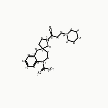 CC(C)C(=O)N1CCC2(CCN(C(=O)CCN3CCCCC3)C2)Cc2ccccc21